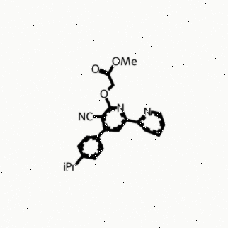 COC(=O)COc1nc(-c2ccccn2)cc(-c2ccc(C(C)C)cc2)c1C#N